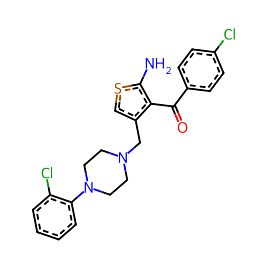 Nc1scc(CN2CCN(c3ccccc3Cl)CC2)c1C(=O)c1ccc(Cl)cc1